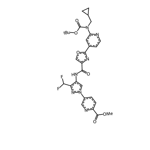 COC(=O)c1ccc(-n2cc(NC(=O)c3coc(-c4ccnc(N(CC5CC5)C(=O)OC(C)(C)C)c4)n3)c(C(F)F)n2)cn1